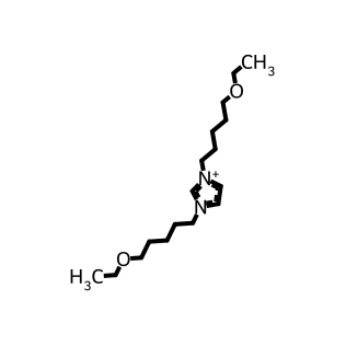 CCOCCCCCn1cc[n+](CCCCCOCC)c1